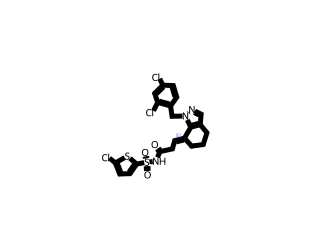 O=C(C/C=C1\CCCc2cnn(Cc3ccc(Cl)cc3Cl)c21)NS(=O)(=O)c1ccc(Cl)s1